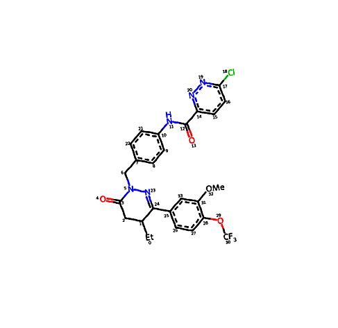 CCC1CC(=O)N(Cc2ccc(NC(=O)c3ccc(Cl)nn3)cc2)N=C1c1ccc(OC(F)(F)F)c(OC)c1